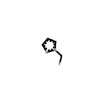 FCn1cccn1